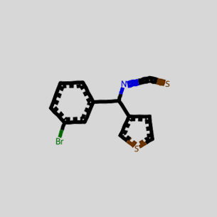 S=C=NC(c1ccsc1)c1cccc(Br)c1